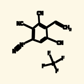 C=Cc1c(C#N)cc([N+]#N)c(C#N)c1C#N.F[B-](F)(F)F